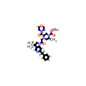 C[C@@H]1CN(CC(=O)N2CC(C)(C)c3cnc(C(F)(F)c4ccccc4)cc32)[C@@H](C(=O)N2CCOCC2)CN1C(=O)OC(C)(C)C